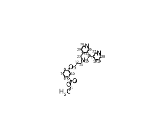 CCOC(=O)c1cccc(OCCCN(CCc2cccnc2)Cc2ccncc2)c1